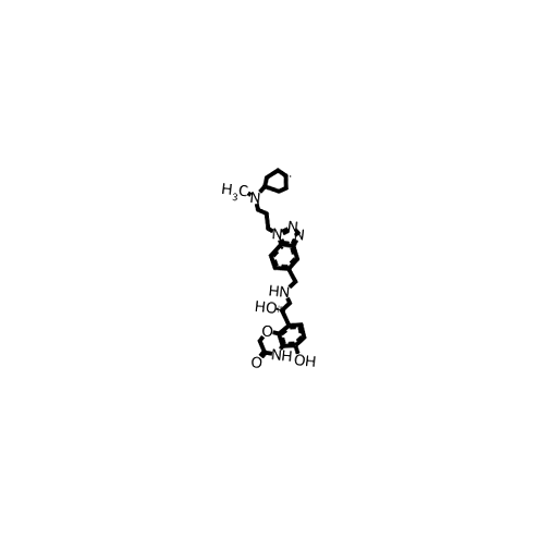 CN(CCCn1nnc2cc(CNC[C@@H](O)c3ccc(O)c4c3OCC(=O)N4)ccc21)C1CC[CH]CC1